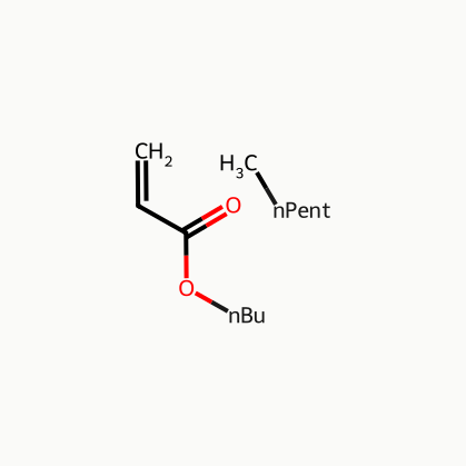 C=CC(=O)OCCCC.CCCCCC